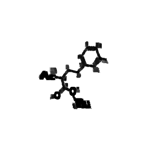 CCC(C)OC(=O)C(CCc1ccccc1)C(C)=O